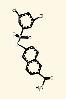 NC(=O)c1ccc2cc(NS(=O)(=O)c3cc(Cl)cc(Cl)c3)ccc2c1